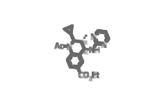 CCOC(=O)c1ccc2c(c1)[C@H](Nc1ncccn1)[C@@H](C)C(C1CC1)N2C(C)=O